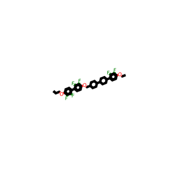 CCCOc1ccc(-c2ccc(OCC3CCC(C4CCC(c5ccc(OCC)c(F)c5F)CC4)CC3)c(F)c2F)c(F)c1F